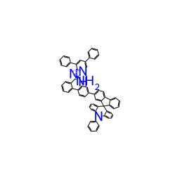 NC(/N=c1\[nH]cc(-c2ccccc2)cc1-c1ccccc1)c1ccccc1-c1ccc(-c2ccc3c(c2)C2(c4ccccc4-3)c3ccccc3N(c3ccccc3)c3ccccc32)cc1